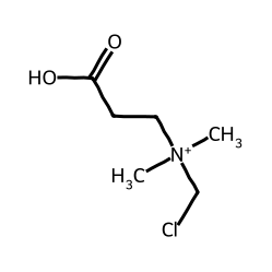 C[N+](C)(CCl)CCC(=O)O